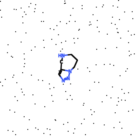 c1nnn2c1CNCCC2